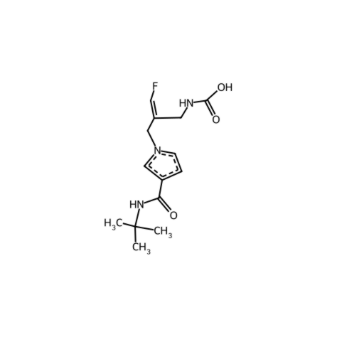 CC(C)(C)NC(=O)c1ccn(C/C(=C/F)CNC(=O)O)c1